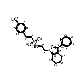 Cc1ccc(/C=C/S(=O)(=O)NCCn2nc(-c3ccccn3)c3c2CCCC3)cc1